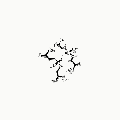 CCCCC(CC)COP(=O)([O-])OCC(CC)CCCC.CCCCC(CC)COP(=O)([O-])OCC(CC)CCCC.[Co+2]